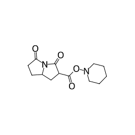 O=C(ON1CCCCC1)C1CC2CCC(=O)N2C1=O